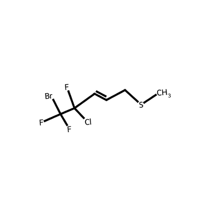 CSCC=CC(F)(Cl)C(F)(F)Br